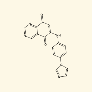 O=C1C(Nc2ccc(-n3ccnc3)cc2)=CC(=O)c2ncncc21